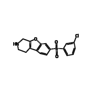 O=S(=O)(c1cccc(Cl)c1)c1ccc2c3c(oc2c1)CNCC3